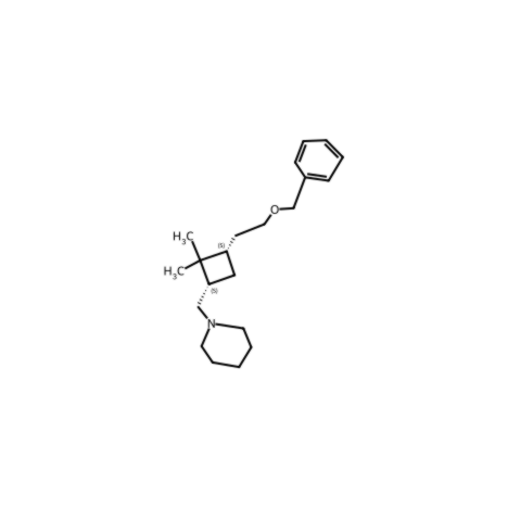 CC1(C)[C@H](CCOCc2ccccc2)C[C@@H]1CN1CCCCC1